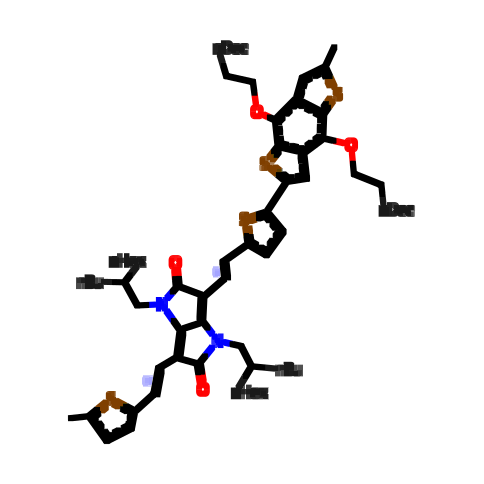 CCCCCCCCCCCCOc1c2cc(-c3ccc(/C=C/C4=C5C(=C(/C=C/c6ccc(C)s6)C(=O)N5CC(CCCC)CCCCCC)N(CC(CCCC)CCCCCC)C4=O)s3)sc2c(OCCCCCCCCCCCC)c2cc(C)sc12